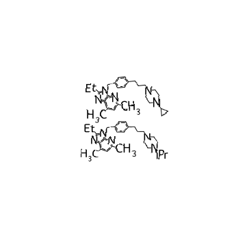 CCc1nc2c(C)cc(C)nc2n1Cc1ccc(CCCN2CCN(C(C)C)CC2)cc1.CCc1nc2c(C)cc(C)nc2n1Cc1ccc(CCCN2CCN(C3CC3)CC2)cc1